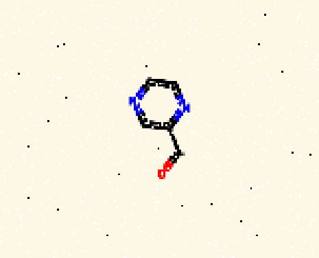 O=[C]c1cnccn1